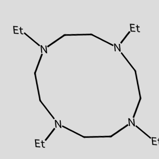 CCN1CCN(CC)CCN(CC)CCN(CC)CC1